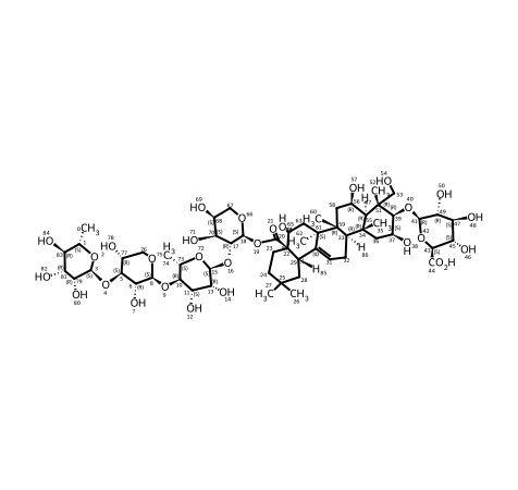 C[C@@H]1O[C@@H](O[C@@H]2[C@@H](O)[C@H](O[C@@H]3[C@@H](O)[C@@H](O)[C@H](O[C@H]4[C@H](OC(=O)[C@]56CCC(C)(C)C[C@H]5C5=CC[C@@H]7[C@@]8(C)C[C@H](O)[C@H](O[C@@H]9O[C@H](C(=O)O)[C@@H](O)[C@H](O)[C@H]9O)[C@@](C)(CO)[C@@H]8[C@H](O)C[C@@]7(C)[C@]5(C)C[C@H]6O)OC[C@H](O)[C@@H]4O)O[C@H]3C)OC[C@H]2O)[C@H](O)[C@H](O)[C@H]1O